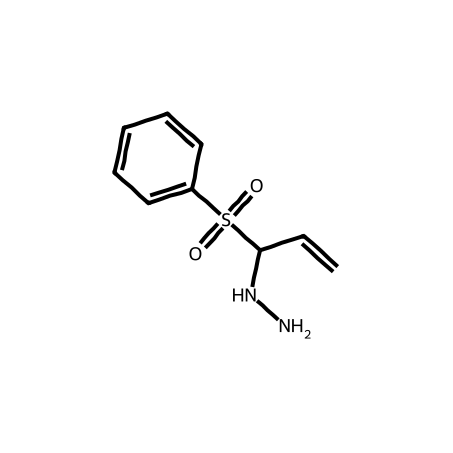 C=CC(NN)S(=O)(=O)c1ccccc1